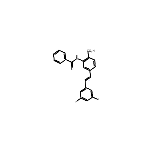 O=C(Nc1cc(/C=C/c2cc(F)cc(F)c2)ccc1C(=O)O)c1ccccc1